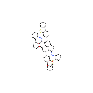 c1ccc(-c2ccccc2N(c2ccc3ccc4c(N(c5ccccc5-c5ccccc5)c5cccc6c5sc5ccccc56)ccc5ccc2c3c54)c2cccc3c2sc2ccccc23)cc1